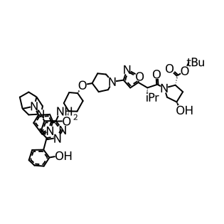 CC(C)[C@@H](C(=O)N1C[C@H](O)C[C@H]1C(=O)OC(C)(C)C)c1cc(N2CCC(O[C@H]3CC[C@@H](Oc4cc(N5C6CCC5CN(c5cc(-c7ccccc7O)nnc5N)C6)ccn4)CC3)CC2)no1